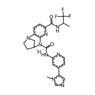 CC(NC(=O)c1ccc2c(n1)N(C(=O)Nc1cc(-c3cncn3C)ccn1)[C@H]1CCN2C1)C(F)(F)F